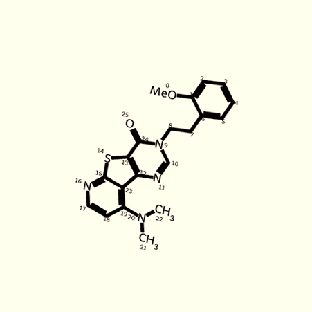 COc1ccccc1CCn1cnc2c(sc3nccc(N(C)C)c32)c1=O